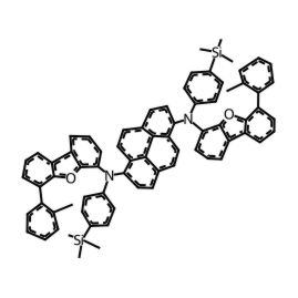 Cc1ccccc1-c1cccc2c1oc1c(N(c3ccc([Si](C)(C)C)cc3)c3ccc4ccc5c(N(c6ccc([Si](C)(C)C)cc6)c6cccc7c6oc6c(-c8ccccc8C)cccc67)ccc6ccc3c4c65)cccc12